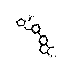 CN1c2ccc(-c3cncc(CN4CCC[C@H]4CO)c3)cc2CCC1C=O